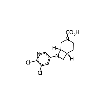 O=C(O)N1CC[C@@H]2CN(c3cnc(Cl)c(Cl)c3)[C@@H]2C1